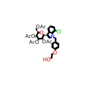 CC(=O)OC[C@H]1O[C@@H](c2cn(Cc3ccc(OCCO)cc3)c3c(Cl)cccc23)[C@H](OC(C)=O)[C@@H](OC(C)=O)[C@@H]1OC(C)=O